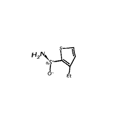 CCc1ccsc1[S@+](N)[O-]